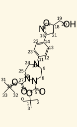 CC(C)(C)OC(=O)N1CCN(c2ccc(C3=NOC(CO)C3)cc2)CCN1C(=O)OC(C)(C)C